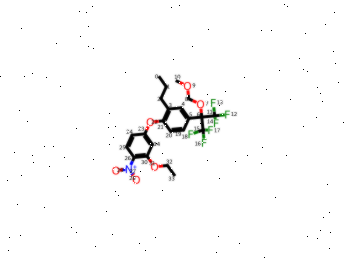 CCCc1cc(C(OCOC)(C(F)(F)F)C(F)(F)F)ccc1Oc1ccc([N+](=O)[O-])c(OCC)c1